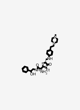 CCN1C(=O)[C@@H](CNc2ccc(CCN3CCN(C)CC3)cc2)SC1[C@H](N)C(=O)NCC(O)c1ccccc1